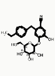 CCc1ccc(Cc2cc(OC3O[C@H](CO)[C@@H](O)[C@H](O)[C@H]3O)c(O)cc2C#N)cc1